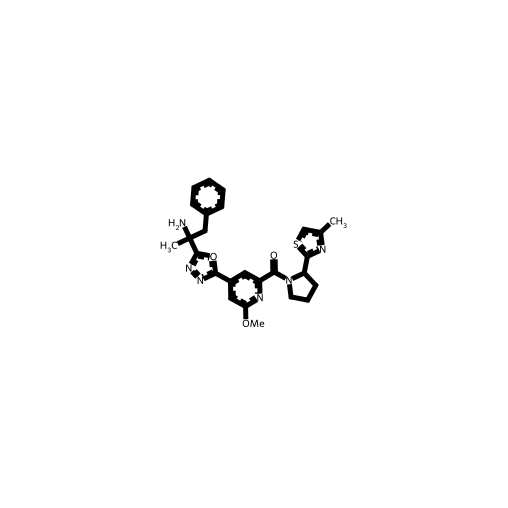 COc1cc(-c2nnc(C(C)(N)Cc3ccccc3)o2)cc(C(=O)N2CCCC2c2nc(C)cs2)n1